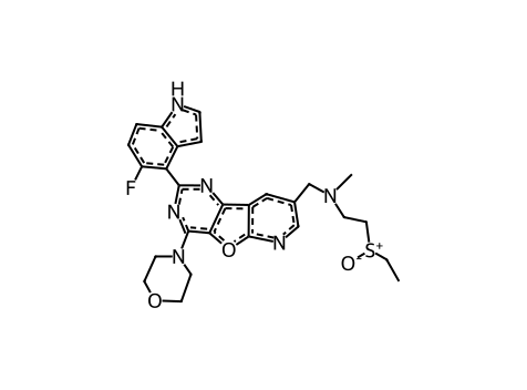 CC[S+]([O-])CCN(C)Cc1cnc2oc3c(N4CCOCC4)nc(-c4c(F)ccc5[nH]ccc45)nc3c2c1